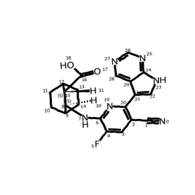 N#Cc1cc(F)c(N[C@H]2C3CCC(CC3)[C@@H]2C(=O)O)nc1-c1c[nH]c2ncncc12